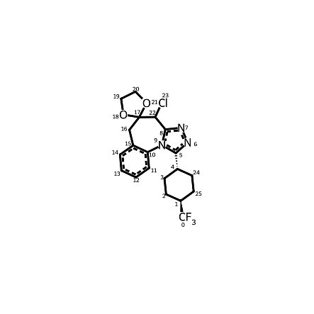 FC(F)(F)[C@H]1CC[C@H](c2nnc3n2-c2ccccc2CC2(OCCO2)C3Cl)CC1